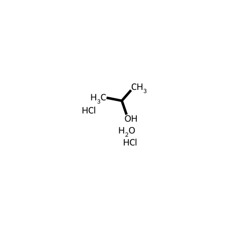 CC(C)O.Cl.Cl.O